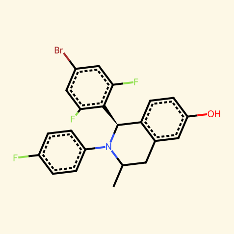 CC1Cc2cc(O)ccc2[C@H](c2c(F)cc(Br)cc2F)N1c1ccc(F)cc1